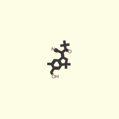 Cc1cc2c(cc1CO)C(C)(C)C/C2=C(/C#N)C(=O)C(C)(C)C